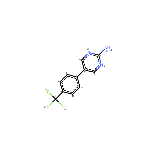 Nc1ncc(-c2ccc(C(F)(F)F)cc2)cn1